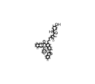 Cc1c(C(=O)Nc2ccc(O)cc2)cc(CCCc2cc3c(cc2C(=O)N2Cc4ccccc4C[C@H]2CN2CCOCC2)CN(C(=O)Cc2ccccc2)CC3)n1C